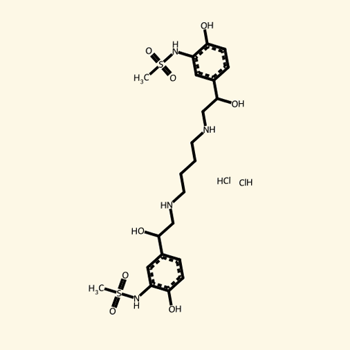 CS(=O)(=O)Nc1cc(C(O)CNCCCCNCC(O)c2ccc(O)c(NS(C)(=O)=O)c2)ccc1O.Cl.Cl